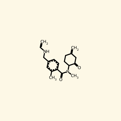 C=CNCc1ccc(C(=O)N(C)C2CCC(=C)CC2=O)c(C)c1